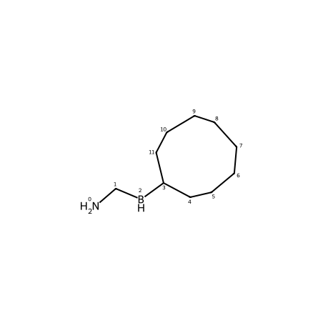 NCBC1CCCCCCCC1